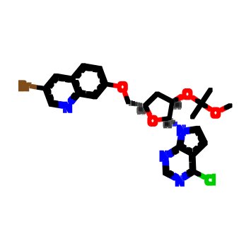 COC(C)(C)O[C@@H]1C[C@@H](COc2ccc3cc(Br)cnc3c2)O[C@H]1n1ccc2c(Cl)ncnc21